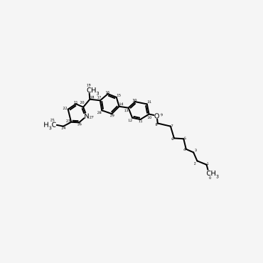 CCCCCCCCCOc1ccc(-c2ccc(C(C)c3ccc(CC)cn3)cc2)cc1